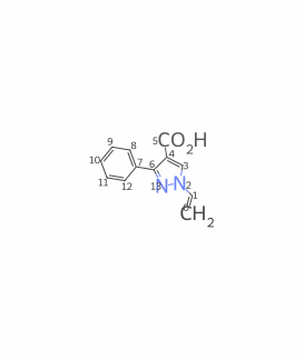 C=Cn1cc(C(=O)O)c(-c2ccccc2)n1